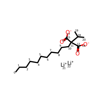 CCCCCCCCCCCC(C(=O)[O-])(C(=O)[O-])C(C)C.[Li+].[Li+]